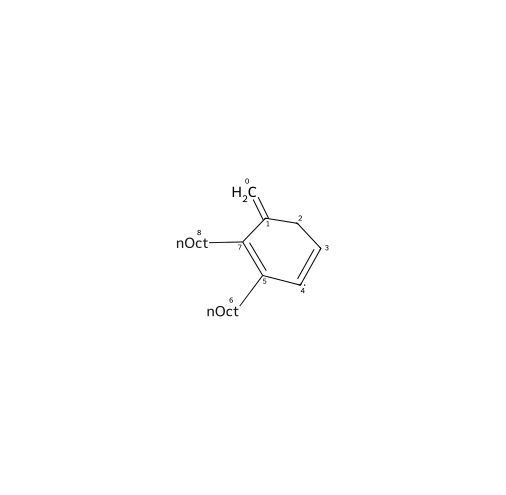 C=C1CC=[C]C(CCCCCCCC)=C1CCCCCCCC